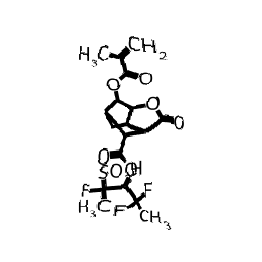 C=C(C)C(=O)OC1C2CC3C1OC(=O)C3C2C(=O)OC(C(C)(F)F)C(C)(F)S(=O)(=O)O